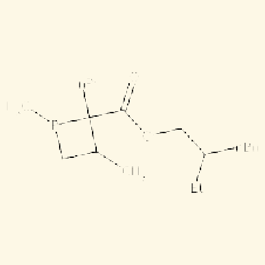 CCCCC(CC)COC(=O)C1(CCC)C(C)CP1C